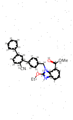 CCOc1nc2cccc(C(=O)OC)c2n1Cc1ccc(-c2cc(-c3ccccc3)ccc2C#N)cc1